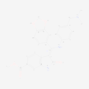 COC(=O)c1ccc2c(c1)NC(=O)/C2=C(\Nc1ccc(CN(C)C)cc1)c1ccc2c(c1)OCO2